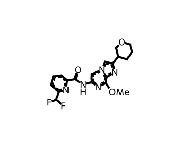 COc1nc(NC(=O)c2cccc(C(F)F)n2)cn2cc(C3CCCOC3)nc12